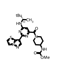 COC(=O)NC1CCN(C(=O)c2cc(N[C@@H](C)C(C)(C)C)nc(-c3cnn4ccsc34)n2)CC1